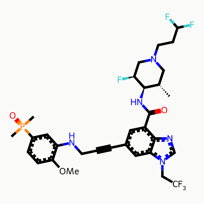 COc1ccc(P(C)(C)=O)cc1NCC#Cc1cc(C(=O)N[C@@H]2[C@@H](C)CN(CCC(F)F)C[C@@H]2F)c2ncn(CC(F)(F)F)c2c1